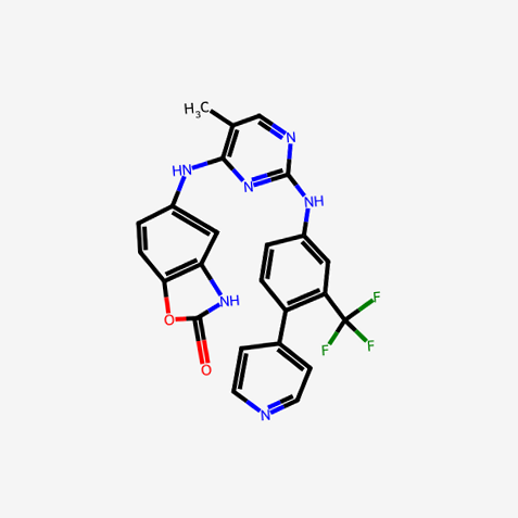 Cc1cnc(Nc2ccc(-c3ccncc3)c(C(F)(F)F)c2)nc1Nc1ccc2oc(=O)[nH]c2c1